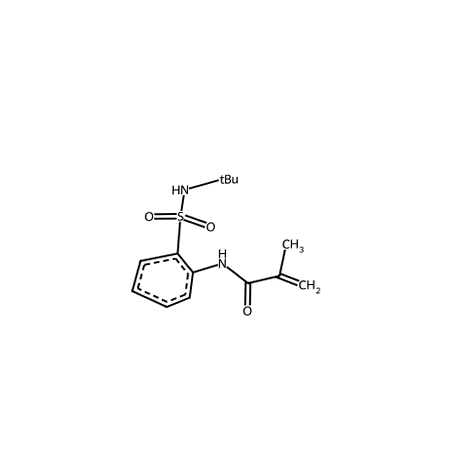 C=C(C)C(=O)Nc1ccccc1S(=O)(=O)NC(C)(C)C